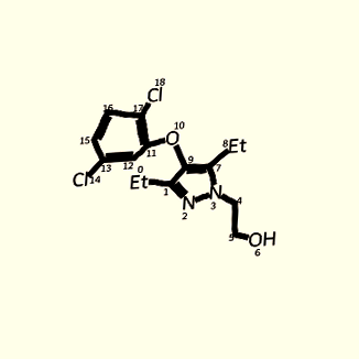 CCc1nn(CCO)c(CC)c1Oc1cc(Cl)ccc1Cl